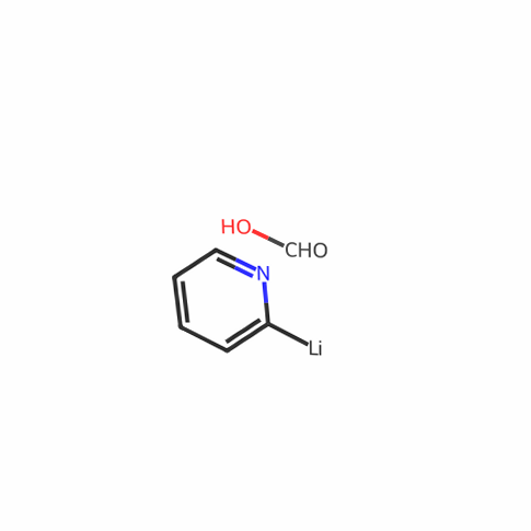 O=CO.[Li][c]1ccccn1